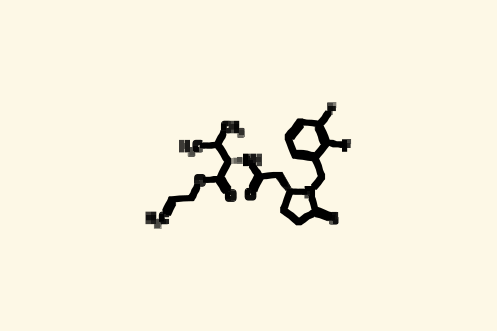 C=CCOC(=O)[C@@H](NC(=O)C[C@@H]1CCC(=S)N1Cc1cccc(F)c1F)C(C)C